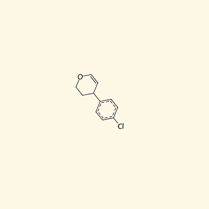 Clc1ccc(C2C=COCC2)cc1